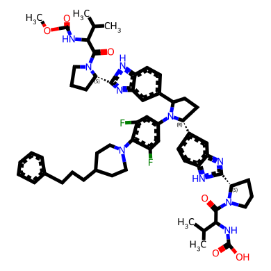 COC(=O)NC(C(=O)N1CCC[C@H]1c1nc2cc(C3CC[C@H](c4ccc5[nH]c([C@@H]6CCCN6C(=O)C(NC(=O)O)C(C)C)nc5c4)N3c3cc(F)c(N4CCC(CCCc5ccccc5)CC4)c(F)c3)ccc2[nH]1)C(C)C